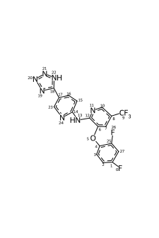 Fc1ccc(Oc2cc(C(F)(F)F)cnc2Nc2ccc(-c3nnn[nH]3)cn2)c(F)c1